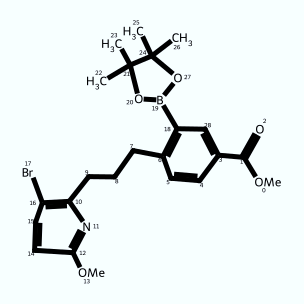 COC(=O)c1ccc(CCCc2nc(OC)ccc2Br)c(B2OC(C)(C)C(C)(C)O2)c1